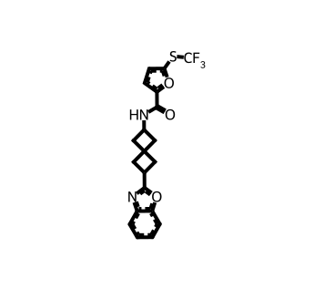 O=C(NC1CC2(C1)CC(c1nc3ccccc3o1)C2)c1ccc(SC(F)(F)F)o1